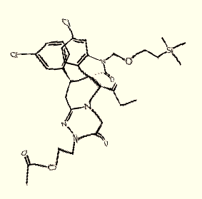 C=C(CC)[C@H]1N2CC(=O)N(CCOC(C)=O)N=C2C[C@@H](c2cccc(Cl)c2)[C@]12C(=O)N(COCC[Si](C)(C)C)c1cc(Cl)ccc12